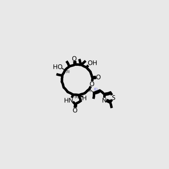 C/C(=C\c1csc(C)n1)[C@@H]1C[C@@H]2CC(=O)NC2CCCC(C)[C@H](O)C(C)C(=O)C(C)(C)C(O)CC(=O)O1